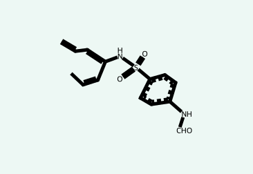 C=C/C=C(\C=C/C)NS(=O)(=O)c1ccc(NC=O)cc1